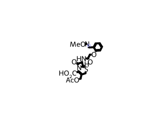 CO/N=C/c1ccccc1OCC(=O)NC1C(=O)N2C(C(=O)O)=C(COC(C)=O)CS[C@H]12